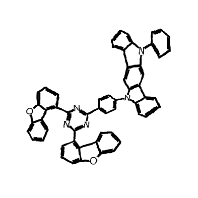 c1ccc(-n2c3ccccc3c3cc4c(cc32)c2ccccc2n4-c2ccc(-c3nc(-c4cccc5oc6ccccc6c45)nc(-c4cccc5oc6ccccc6c45)n3)cc2)cc1